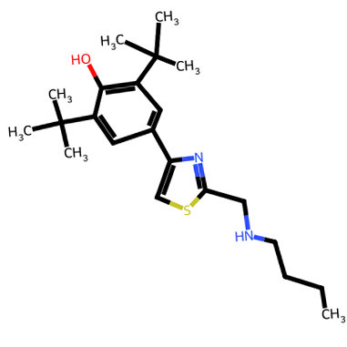 CCCCNCc1nc(-c2cc(C(C)(C)C)c(O)c(C(C)(C)C)c2)cs1